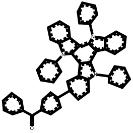 O=C(c1ccccc1)c1ccc(-c2ccc3c(c2)c2c4c(c5ccccc5n4-c4ccccc4)c4c(c5ccccc5n4-c4ccccc4)c2n3-c2ccccc2)cc1